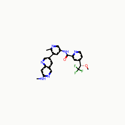 CNc1cc2ncc(-c3cc(NC(=O)c4cc([C@H](OC)C(F)(F)F)ccn4)cnc3C)cc2cn1